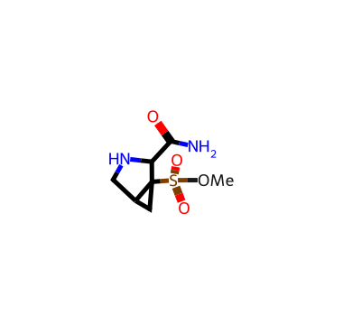 COS(=O)(=O)C12CC1CNC2C(N)=O